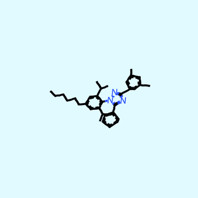 CCCCCCc1cc(C(C)C)c(-n2nc(-c3cc(C)cc(C)c3)nc2-c2ccccc2)c(C(C)C)c1